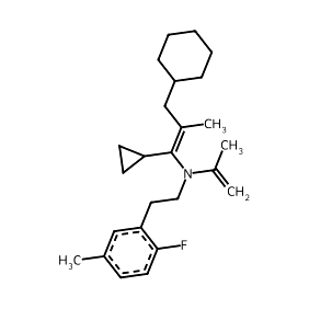 C=C(C)N(CCc1cc(C)ccc1F)/C(=C(\C)CC1CCCCC1)C1CC1